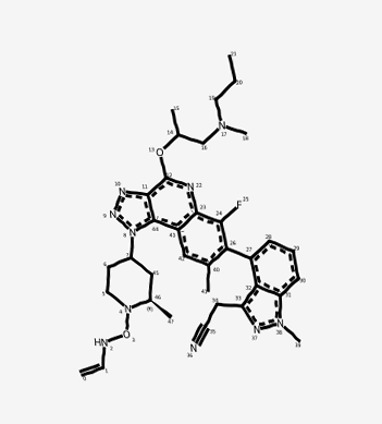 C=CNON1CCC(n2nnc3c(OC(C)CN(C)CCC)nc4c(F)c(-c5cccc6c5c(CC#N)nn6C)c(C)cc4c32)C[C@H]1C